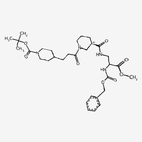 COC(=O)C(CNC(=O)[C@@H]1CCCN(C(=O)CCC2CCN(C(=O)OC(C)(C)C)CC2)C1)NC(=O)OCc1ccccc1